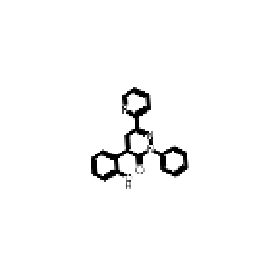 O=c1c(-c2ccccc2O)cc(-c2ccccn2)nn1-c1ccccc1